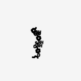 CCCC(C)Oc1ccc(C(=O)NC(=S)Nc2ccc(S(=O)(=O)Nc3c(C)cccc3C)cc2)cc1